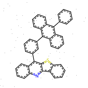 c1ccc(-c2c3ccccc3c(-c3cccc(-c4c5ccccc5nc5c4sc4ccccc45)c3)c3ccccc23)cc1